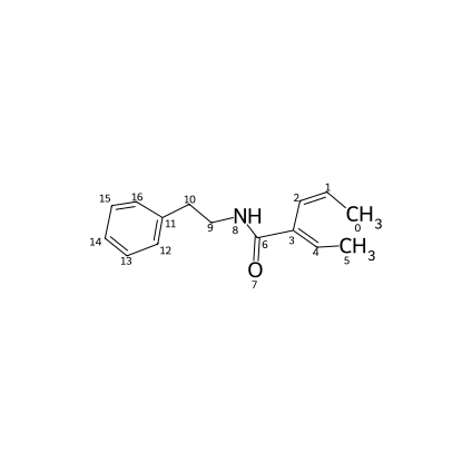 C/C=C\C(=C/C)C(=O)NCCc1ccccc1